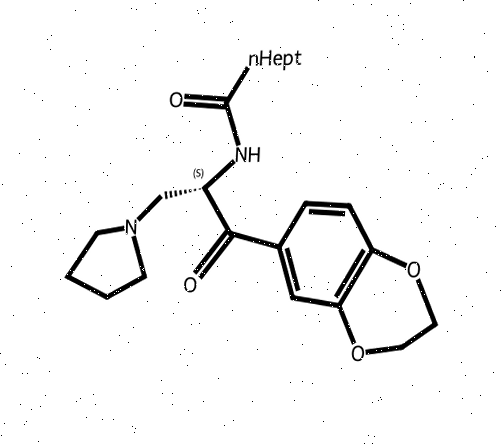 CCCCCCCC(=O)N[C@@H](CN1CCCC1)C(=O)c1ccc2c(c1)OCCO2